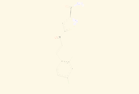 NC(=O)c1[c]c(C(=O)/C=C/c2ccc(Cl)cc2Cl)sn1